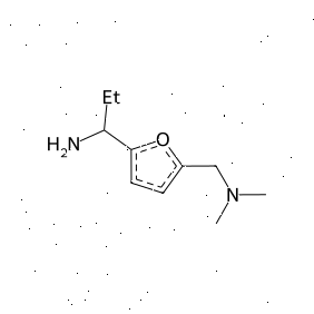 CCC(N)c1ccc(CN(C)C)o1